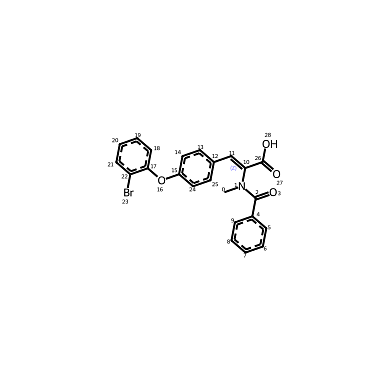 CN(C(=O)c1ccccc1)/C(=C\c1ccc(Oc2ccccc2Br)cc1)C(=O)O